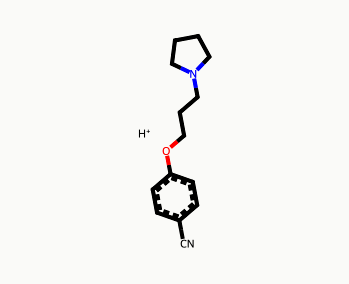 N#Cc1ccc(OCCCN2CCCC2)cc1.[H+]